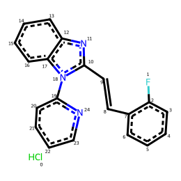 Cl.Fc1ccccc1/C=C/c1nc2ccccc2n1-c1ccccn1